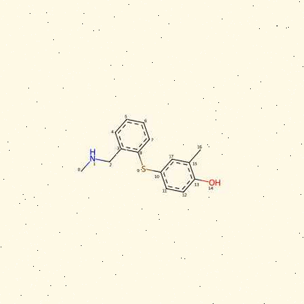 CNCc1ccccc1Sc1ccc(O)c(C)c1